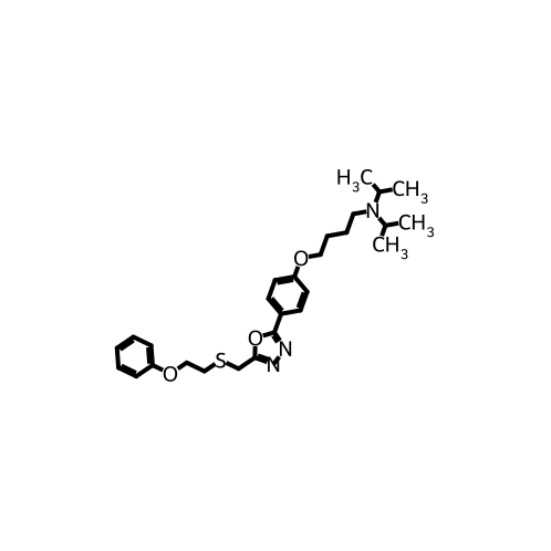 CC(C)N(CCCCOc1ccc(-c2nnc(CSCCOc3ccccc3)o2)cc1)C(C)C